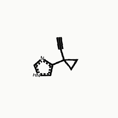 C#CC1(c2c[nH]cn2)CC1